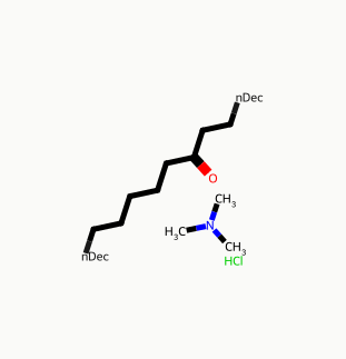 CCCCCCCCCCCCCCCC(=O)CCCCCCCCCCCC.CN(C)C.Cl